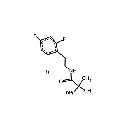 CCCC(C)(C)C(=O)NCCc1ccc(F)[c]c1F.[Ti]